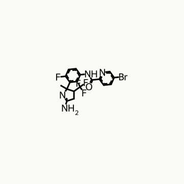 CC1(c2cc(NC(=O)c3ccc(Br)cn3)ccc2F)N=C(N)CC1C(F)(F)F